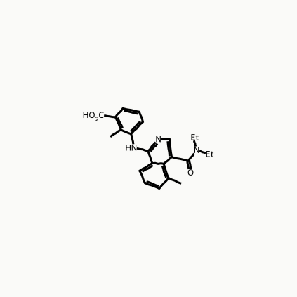 CCN(CC)C(=O)c1cnc(Nc2cccc(C(=O)O)c2C)c2cccc(C)c12